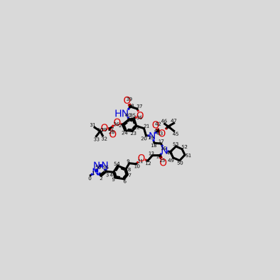 Cn1cc(-c2cccc(CCOCCC(=O)N(CCN(CCc3ccc(OC(=O)OC(C)(C)C)c4c3OCC(=O)N4)C(=O)OC(C)(C)C)C3CCCCC3)c2)nn1